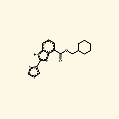 O=C(OCC1CCCCC1)c1cccc2[nH]c(-c3cscn3)nc12